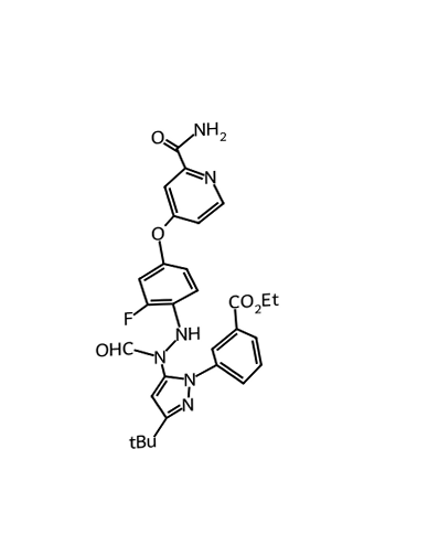 CCOC(=O)c1cccc(-n2nc(C(C)(C)C)cc2N(C=O)Nc2ccc(Oc3ccnc(C(N)=O)c3)cc2F)c1